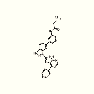 CCCC(=O)Nc1cncc(-c2ccc3[nH]nc(-c4nc5c(-c6ccncc6)ccnc5[nH]4)c3n2)c1